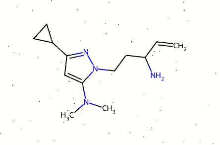 C=CC(N)CCn1nc(C2CC2)cc1N(C)C